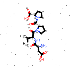 CC(C)[C@H](NC(=O)[C@@H](N)CC(=O)O)C(=O)N1CCC[C@H]1C(=O)N1CCC[C@H]1C(=O)O